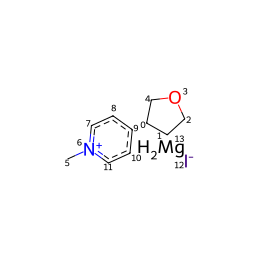 C1CCOC1.C[n+]1ccccc1.[I-].[MgH2]